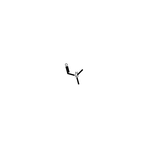 [CH3][SnH]([CH3])[CH]=O